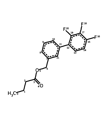 CCCC(=O)OCc1cccc(-c2ccc(F)c(F)c2F)c1